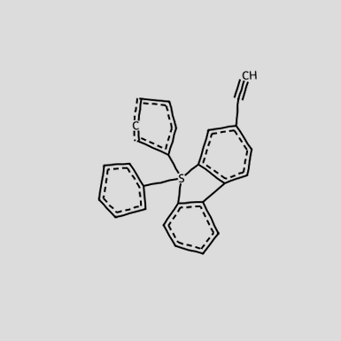 C#Cc1ccc2c(c1)S(c1ccccc1)(c1ccccc1)c1ccccc1-2